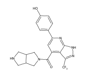 O=C(c1cc(-c2ccc(O)cc2)nc2[nH]nc(C(F)(F)F)c12)N1CC2CNCC2C1